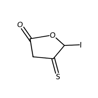 O=C1CC(=S)C(I)O1